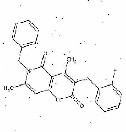 Cc1c(Sc2ccccc2F)c(=O)oc2cc(C)n(Cc3ccccc3)c(=O)c12